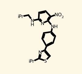 CC(C)CNc1ccc([N+](=O)[O-])c(Nc2ccc(-c3csc(C(C)C)n3)cc2)n1